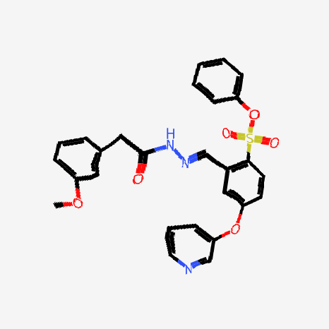 COc1cccc(CC(=O)NN=Cc2cc(Oc3cccnc3)ccc2S(=O)(=O)Oc2ccccc2)c1